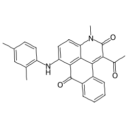 CC(=O)c1c2c3c(c(Nc4ccc(C)cc4C)ccc3n(C)c1=O)C(=O)c1ccccc1-2